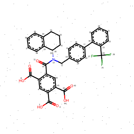 O=C(O)c1cc(C(=O)O)c(C(=O)N(Cc2ccc(-c3ccccc3C(F)(F)F)cc2)[C@H]2CCCc3ccccc32)cc1C(=O)O